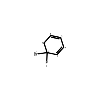 FC1(Br)[CH]C=CC=C1